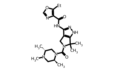 CCc1ocnc1C(=O)Nc1n[nH]c2c1CN(C(=O)N1C[C@@H](C)N(C)C[C@@H]1C)C2(C)C